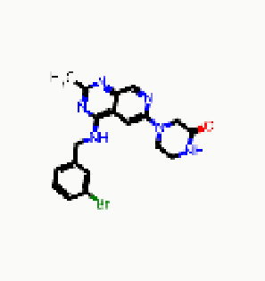 Cc1nc(NCc2cccc(Br)c2)c2cc(N3CCNC(=O)C3)ncc2n1